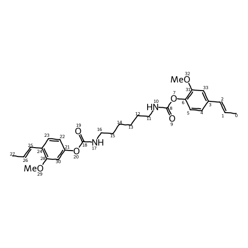 C/C=C/c1ccc(OC(=O)NCCCCCCNC(=O)Oc2ccc(/C=C/C)c(OC)c2)c(OC)c1